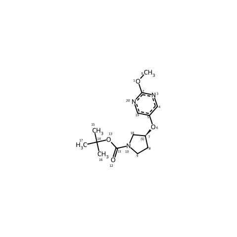 COc1ncc(O[C@H]2CCN(C(=O)OC(C)(C)C)C2)cn1